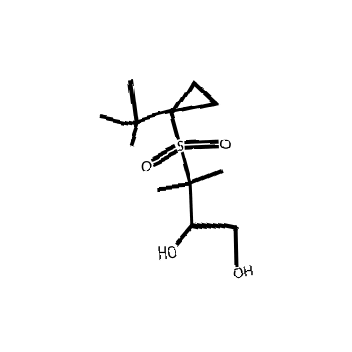 CC(C)(C)C1(S(=O)(=O)C(C)(C)C(O)CO)CC1